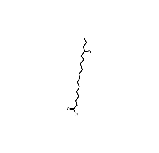 CCCC([18F])CCCCCCCSCCCCC(=O)O